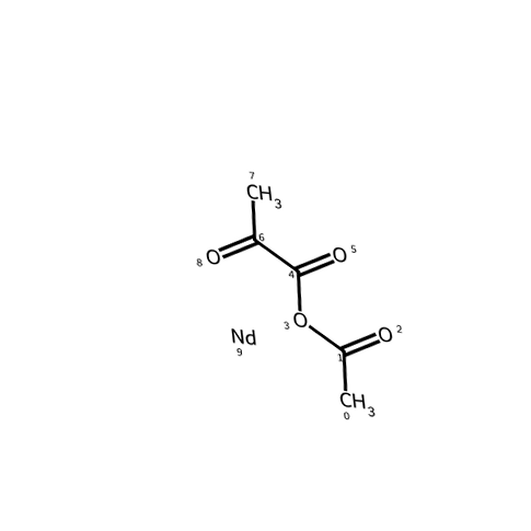 CC(=O)OC(=O)C(C)=O.[Nd]